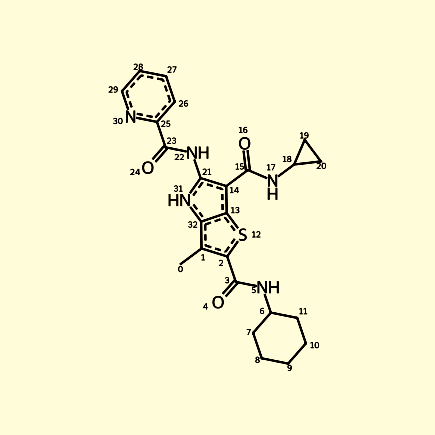 Cc1c(C(=O)NC2CCCCC2)sc2c(C(=O)NC3CC3)c(NC(=O)c3ccccn3)[nH]c12